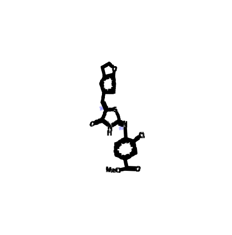 COC(=O)c1ccc(/N=C2\NC(=O)/C(=C/c3ccc4c(c3)CCO4)S2)c(Cl)c1